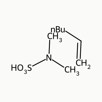 C=CCCCC.CN(C)S(=O)(=O)O